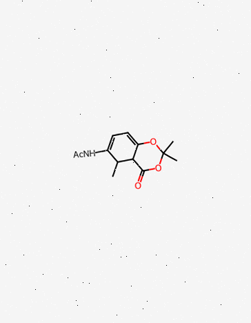 CC(=O)NC1=CC=C2OC(C)(C)OC(=O)C2C1C